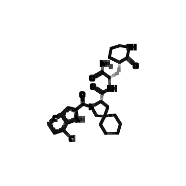 NC(=O)[C@H](C[C@@H]1CCCNC1=O)NC(=O)[C@@H]1CC2(CCCCC2)CN1C(=O)c1cc2cccc(Cl)c2[nH]1